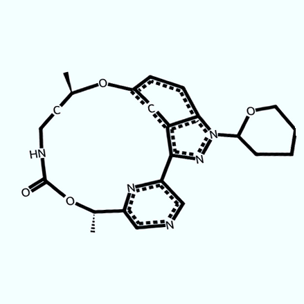 C[C@@H]1CCNC(=O)O[C@@H](C)c2cncc(n2)-c2nn(C3CCCCO3)c3ccc(cc23)O1